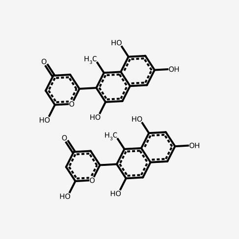 Cc1c(-c2cc(=O)cc(O)o2)c(O)cc2cc(O)cc(O)c12.Cc1c(-c2cc(=O)cc(O)o2)c(O)cc2cc(O)cc(O)c12